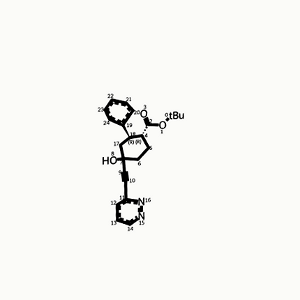 CC(C)(C)OC(=O)[C@@H]1CCC(O)(C#Cc2cccnn2)C[C@H]1c1ccccc1